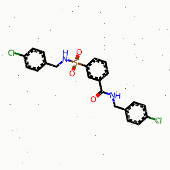 O=C(NCc1ccc(Cl)cc1)c1cccc(S(=O)(=O)NCc2ccc(Cl)cc2)c1